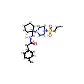 CCCS(=O)(=O)N1CCN(C2(CNC(=O)Cc3ccc(C)cc3)CCCCC2)CC1